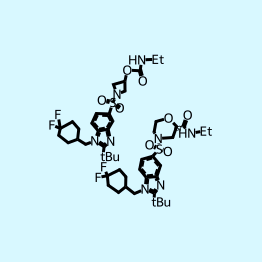 CCNC(=O)OC1CN(S(=O)(=O)c2ccc3c(c2)nc(C(C)(C)C)n3CC2CCC(F)(F)CC2)C1.CCNC(=O)[C@@H]1CN(S(=O)(=O)c2ccc3c(c2)nc(C(C)(C)C)n3CC2CCC(F)(F)CC2)CCO1